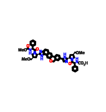 COC[C@H]1C[C@@H](c2ncc(-c3ccc4c(c3)COc3cc5c(ccc6nc([C@@H]7C[C@H](COC)CN7C(=O)[C@H](NC(=O)OC)c7ccccc7)[nH]c65)cc3-4)[nH]2)N(C(=O)[C@H](NC(=O)O)c2ccccc2)C1